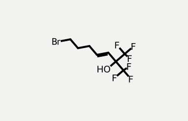 OC(C=CCCCBr)(C(F)(F)F)C(F)(F)F